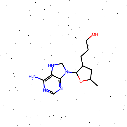 CC1CC(CCCO)C(N2CNc3c(N)ncnc32)O1